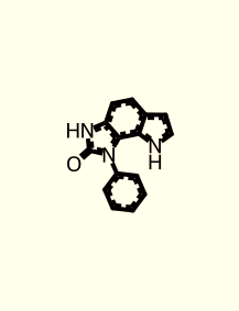 O=c1[nH]c2ccc3cc[nH]c3c2n1-c1ccccc1